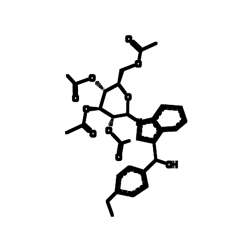 CCc1ccc(C(O)c2cn(C3O[C@H](COC(C)=O)[C@@H](OC(C)=O)[C@H](OC(C)=O)[C@H]3OC(C)=O)c3ccccc23)cc1